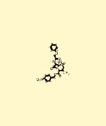 C=C1CS(=O)(=O)[C@@H]2C(NC(=O)COc3ccccc3)C(=O)N2C1C(=O)OCc1ccc([N+](=O)[O-])cc1